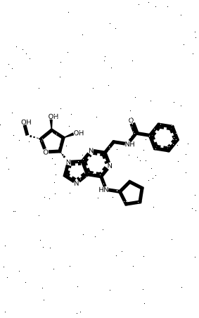 O=C(NCc1nc(NC2CCCC2)c2ncn([C@@H]3O[C@H](CO)[C@@H](O)[C@H]3O)c2n1)c1ccccc1